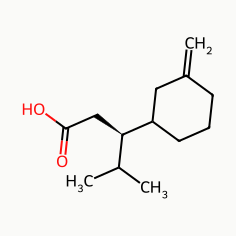 C=C1CCCC([C@H](CC(=O)O)C(C)C)C1